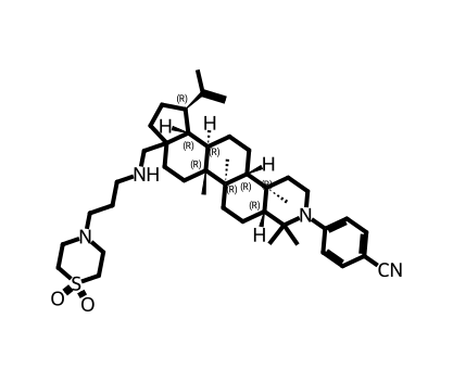 C=C(C)[C@@H]1CCC2(CNCCCN3CCS(=O)(=O)CC3)CC[C@]3(C)[C@H](CC[C@@H]4[C@@]5(C)CCN(c6ccc(C#N)cc6)C(C)(C)[C@@H]5CC[C@]43C)[C@@H]12